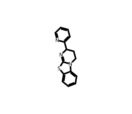 c1ccc(C2CCN3C(=N2)Sc2ccccc23)nc1